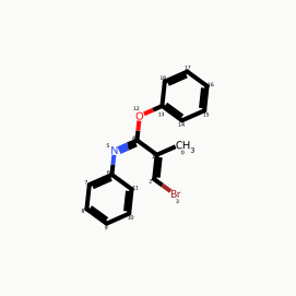 CC(=CBr)/C(=N\c1ccccc1)Oc1ccccc1